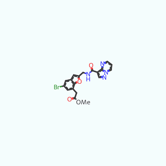 COC(=O)Cc1cc(Br)cc2cc(CNC(=O)c3cnn4cccnc34)oc12